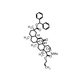 C=CCOC(=O)[C@]1(C)[C@@H](NC)CC[C@@]2(C)[C@H]1CC[C@]1(C)[C@@H]2C(=O)C=C2[C@@H]3C[C@@](C)(C(=O)OC(c4ccccc4)c4ccccc4)CC[C@]3(C)CC[C@]21C